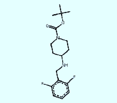 CC(C)(C)OC(=O)N1CCC(NCc2c(F)cccc2F)CC1